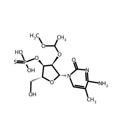 COC(C)O[C@@H]1[C@H](OP(O)(O)=S)[C@@H](CO)O[C@H]1n1cc(C)c(N)nc1=O